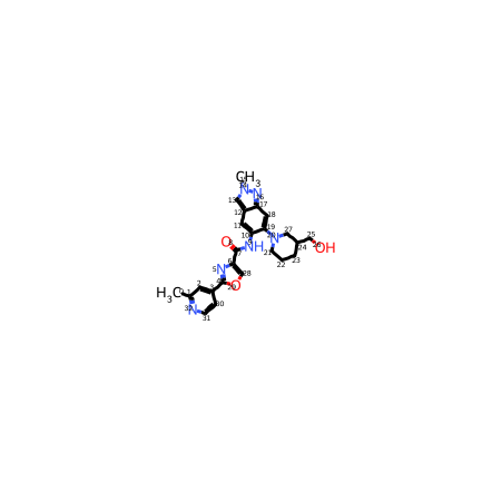 Cc1cc(-c2nc(C(=O)Nc3cc4cn(C)nc4cc3N3CCCC(CO)C3)co2)ccn1